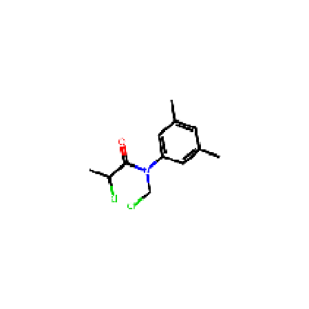 Cc1cc(C)cc(N(CCl)C(=O)C(C)Cl)c1